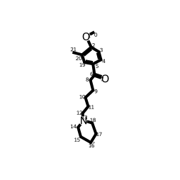 COc1ccc(C(=O)CCCCCN2CC[CH]CC2)cc1C